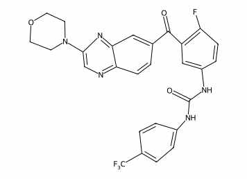 O=C(Nc1ccc(C(F)(F)F)cc1)Nc1ccc(F)c(C(=O)c2ccc3ncc(N4CCOCC4)nc3c2)c1